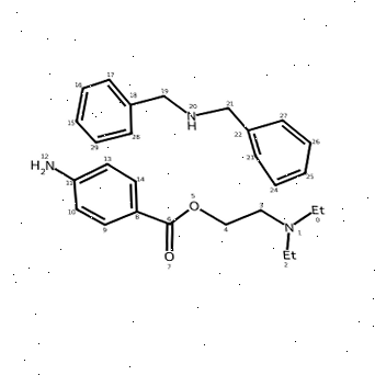 CCN(CC)CCOC(=O)c1ccc(N)cc1.c1ccc(CNCc2ccccc2)cc1